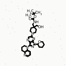 CC(C)(C)OC(=O)NCC1(CO)CCN(c2cnc3c(N4CCCc5ncccc54)nn(C4CCCCO4)c3n2)CC1